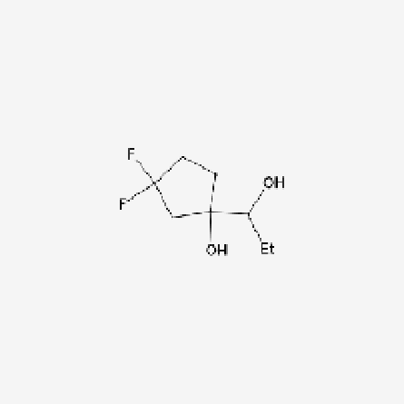 CC[C](O)C1(O)CCC(F)(F)C1